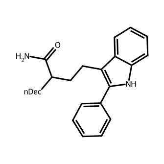 CCCCCCCCCCC(CCc1c(-c2ccccc2)[nH]c2ccccc12)C(N)=O